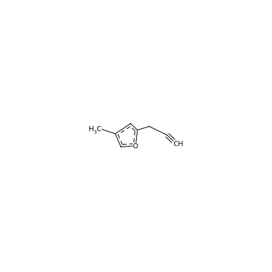 C#CCc1cc(C)co1